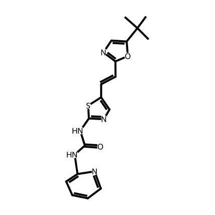 CC(C)(C)c1cnc(C=Cc2cnc(NC(=O)Nc3ccccn3)s2)o1